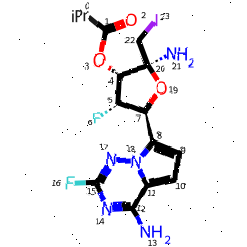 CC(C)C(=O)O[C@H]1[C@@H](F)[C@H](c2ccc3c(N)nc(F)nn23)O[C@]1(N)CI